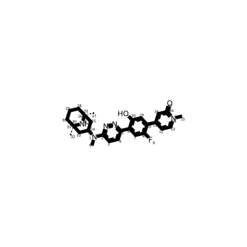 CN(c1ccc(-c2cc(F)c(-c3ccn(C)c(=O)c3)cc2O)nn1)C1C[C@]2(C)CCC[C@](C)(C1)N2